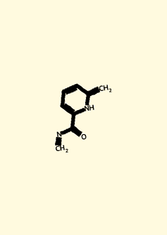 C=NC(=O)C1=CC=CC(=C)N1